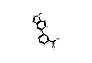 Cn1ncc2cc(-c3cccc(C(=O)O)c3)ccc21